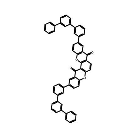 O=c1c2cc(-c3cccc(-c4cccc(-c5ccccc5)c4)c3)ccc2oc2c1ccc1oc3ccc(-c4cccc(-c5cccc(-c6ccccc6)c5)c4)cc3c(=O)c12